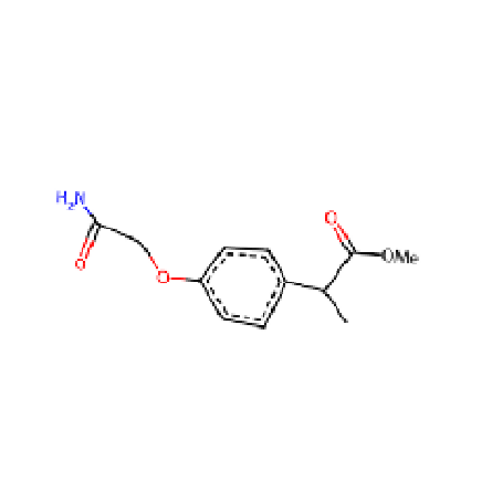 COC(=O)C(C)c1ccc(OCC(N)=O)cc1